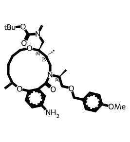 COc1ccc(COC[C@H](C)N2C[C@@H](C)[C@H](CN(C)C(=O)OC(C)(C)C)OCCCCC(C)Oc3ccc(N)cc3C2=O)cc1